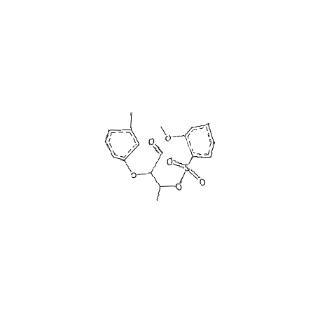 COc1ccccc1S(=O)(=O)OC(C)C(C=O)Oc1cccc(C)c1